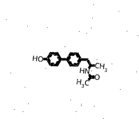 CC(=O)NC(C)Cc1ccc(-c2ccc(O)cc2)cc1